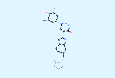 Cc1cc(-c2cc(-c3cc4ccc(CN5CCCC5C(=O)O)cc4[nH]3)c(=O)[nH]n2)cc(C)c1O